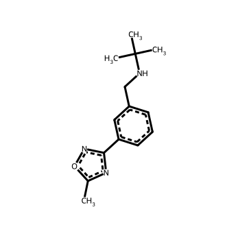 Cc1nc(-c2cccc(CNC(C)(C)C)c2)no1